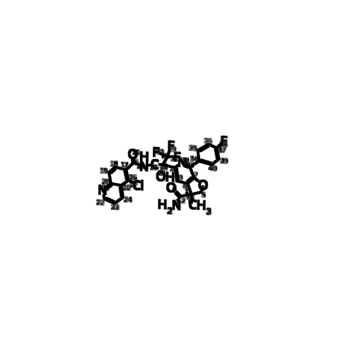 C[C@]1(C(N)=O)COc2c1cc([C@@](O)(CNC(=O)c1ccc3ncccc3c1Cl)C(F)(F)F)nc2-c1ccc(F)cc1